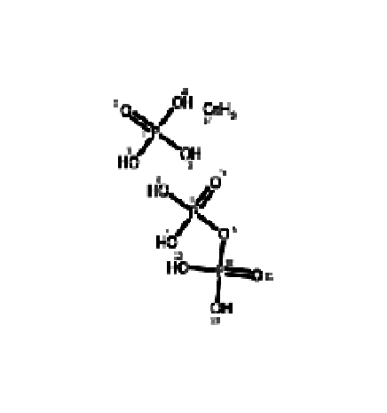 O=P(O)(O)O.O=P(O)(O)OP(=O)(O)O.[CaH2]